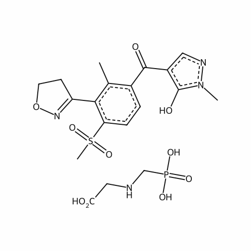 Cc1c(C(=O)c2cnn(C)c2O)ccc(S(C)(=O)=O)c1C1=NOCC1.O=C(O)CNCP(=O)(O)O